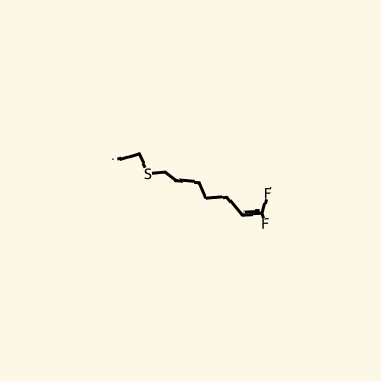 [CH2]CSCCCCCC=C(F)F